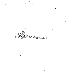 C#CCOCCOCCOCCOCCOc1cc(C(C(=O)OC)C(C)C)on1